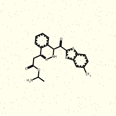 CC(N)OC(=O)CC1=NNC(C(=O)c2nc3cc(C(F)(F)F)ccc3s2)c2ccccc21